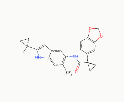 CC1(c2cc3cc(NC(=O)C4(c5ccc6c(c5)OCO6)CC4)c(C(F)(F)F)cc3[nH]2)CC1